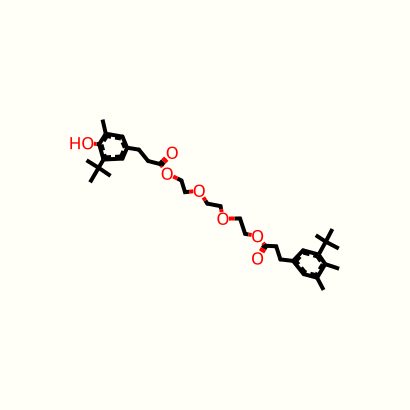 Cc1cc(CCC(=O)OCCOCCOCCOC(=O)CCc2cc(C)c(O)c(C(C)(C)C)c2)cc(C(C)(C)C)c1C